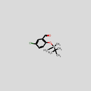 CC(C)(C)[Si](C)(C)Oc1ccc(Cl)cc1C=O